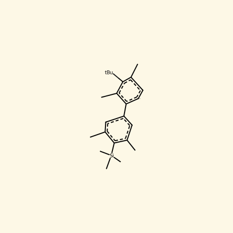 Cc1c[c]c(-c2cc(C)c([Si](C)(C)C)c(C)c2)c(C)c1C(C)(C)C